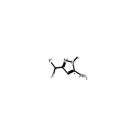 Cn1nc(C(F)F)cc1N